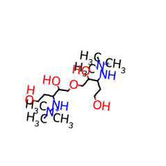 C[N+](C)(C)NC(CCO)C(O)COCC(O)C(CCO)N[N+](C)(C)C